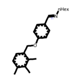 CCCCCC/N=C/c1ccc(OCc2ccc(C)c(C)c2C)cc1